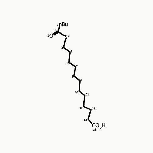 CCCCC(=O)SCCCCCCCCCCCC(=O)O